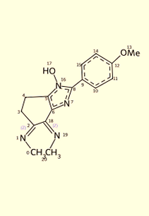 C/N=C1/CCc2c(nc(-c3ccc(OC)cc3)n2O)/C1=N/C